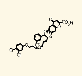 O=C(O)c1cc(=O)c2ccc(S[C@@H](/C=C/C=C=CCCOc3ccc(Cl)c(Cl)c3)[C@H](O)c3cccc(C(F)(F)F)c3)cc2o1